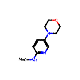 CONc1ccc(N2CCOCC2)cn1